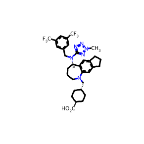 Cn1nnc(N(Cc2cc(C(F)(F)F)cc(C(F)(F)F)c2)[C@H]2CCCN(C[C@H]3CC[C@H](C(=O)O)CC3)c3cc4c(cc32)CCC4)n1